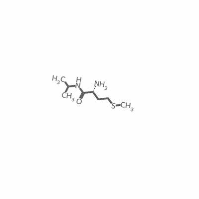 CSCC[C@@H](N)C(=O)NC(C)C